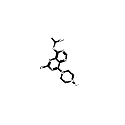 CC(O)Oc1ncnc2c(N3CC[S+]([O-])CC3)nc(Cl)nc12